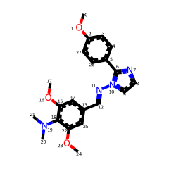 COc1ccc(-c2nccn2N=Cc2cc(OC)c(N(C)C)c(OC)c2)cc1